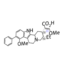 CC[C@@H]1CN2CCc3c([nH]c4ccc(-c5ccccc5)c(OC)c34)C2C[C@@H]1/C(=C\OC)C(=O)O